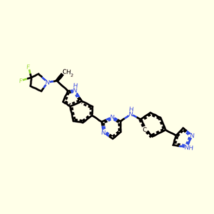 C=C(c1cc2ccc(-c3nccc(Nc4ccc(-c5cn[nH]c5)cc4)n3)cc2[nH]1)N1CCC(F)(F)C1